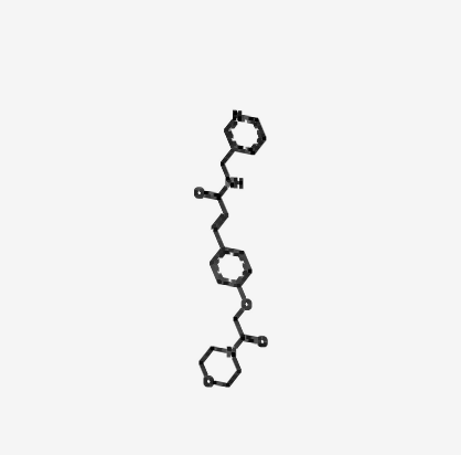 O=C(/C=C/c1ccc(OCC(=O)N2CCOCC2)cc1)NCc1cccnc1